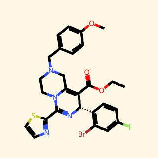 CCOC(=O)C1=C2CN(Cc3ccc(OC)cc3)CCN2C(c2nccs2)=N[C@H]1c1ccc(F)cc1Br